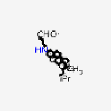 CC(C)CCC[C@@H](C)[C@H]1CCC2C3CC=C4C[C@@H](NCCCC[C]=O)CC[C@]4(C)C3CC[C@@]21C